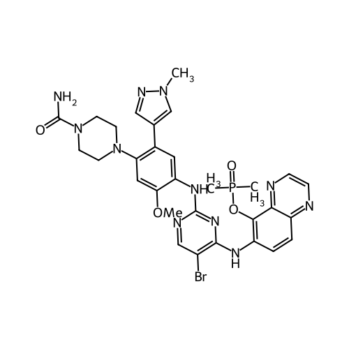 COc1cc(N2CCN(C(N)=O)CC2)c(-c2cnn(C)c2)cc1Nc1ncc(Br)c(Nc2ccc3nccnc3c2OP(C)(C)=O)n1